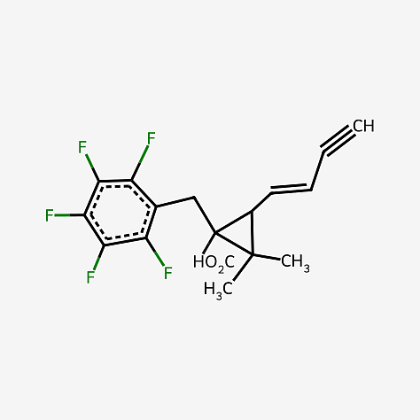 C#CC=CC1C(C)(C)C1(Cc1c(F)c(F)c(F)c(F)c1F)C(=O)O